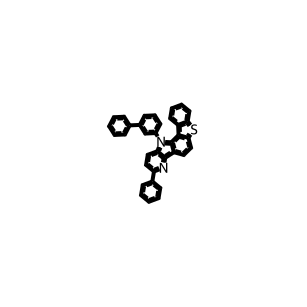 c1ccc(-c2cccc(-n3c4ccc(-c5ccccc5)nc4c4ccc5sc6ccccc6c5c43)c2)cc1